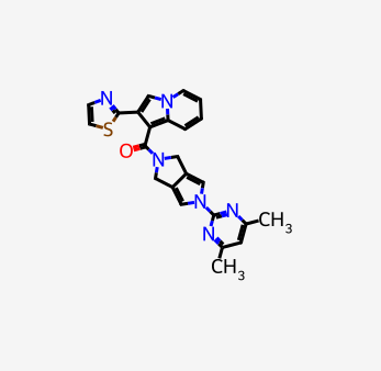 Cc1cc(C)nc(-n2cc3c(c2)CN(C(=O)c2c(-c4nccs4)cn4ccccc24)C3)n1